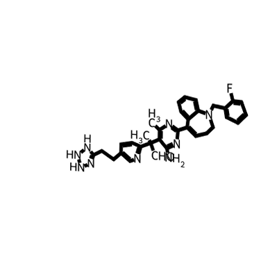 Cc1nc(C2=CCCN(Cc3ccccc3F)c3ccccc32)nc(N)c1C(C)(C=O)c1ccc(CCC2=NNNN2)cn1